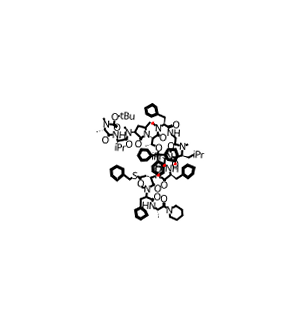 CC(C)C[C@@H](C(=O)N(C)[C@H](C(=O)N[C@@H](Cc1ccccc1)C(=O)N[C@@H](CC(=O)SCc1ccccc1)C(=O)N(C)C(Cc1ccccc1)C(=O)N[C@@H](C)C(=O)N1CCCCC1)C(C)C)N(C)C(=O)CNC(=O)[C@H](Cc1ccccc1)N(C)C(=O)[C@H]([C@@H](C)OC(c1ccccc1)(c1ccccc1)c1ccccc1)N1C(=O)[C@@H](N(C)C(=O)[C@@H](NC(=O)[C@H](C)N(C)C(=O)OC(C)(C)C)C(C)C)CC1C